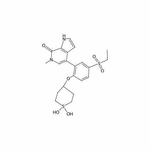 CCS(=O)(=O)c1ccc(OC2CCS(O)(O)CC2)c(-c2cn(C)c(=O)c3[nH]ccc23)c1